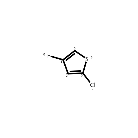 Fc1[c]c(Cl)sc1